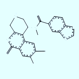 CN(C(=O)c1ccc2scnc2c1)[C@H]1CNCc2[nH]c(=O)c3cc(F)c(F)cc3c21